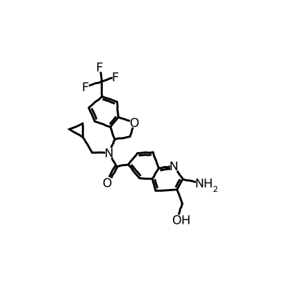 Nc1nc2ccc(C(=O)N(CC3CC3)C3COc4cc(C(F)(F)F)ccc43)cc2cc1CO